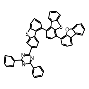 c1ccc(-c2nc(-c3ccccc3)nc(-c3ccc4c(c3)sc3cccc(-c5ccc(-c6cccc7c6oc6ccccc67)c6sc7ccccc7c56)c34)n2)cc1